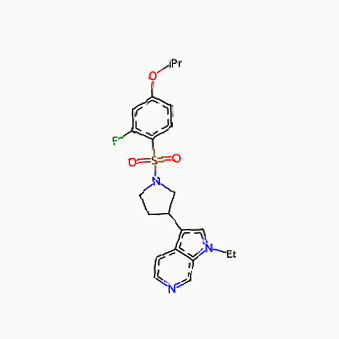 CCn1cc(C2CCN(S(=O)(=O)c3ccc(OC(C)C)cc3F)C2)c2ccncc21